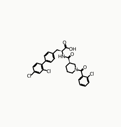 O=C(N[C@@H](Cc1ccc(-c2ccc(Cl)cc2Cl)cc1)C(=O)O)[C@@H]1CCCN(C(=O)c2ccccc2Cl)C1